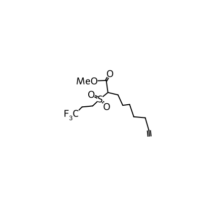 C#CCCCCCC(C(=O)OC)S(=O)(=O)CCC(F)(F)F